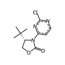 CC(C)(C)[C@H]1COC(=O)N1c1ccnc(Cl)n1